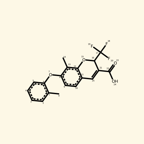 Cc1ccccc1Oc1ccc2c(c1C)OC(C(F)(F)F)C(C(=O)O)=C2